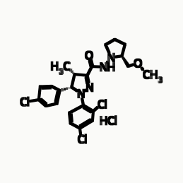 COC[C@@H]1CCCN1NC(=O)C1=NN(c2ccc(Cl)cc2Cl)[C@H](c2ccc(Cl)cc2)[C@@H]1C.Cl